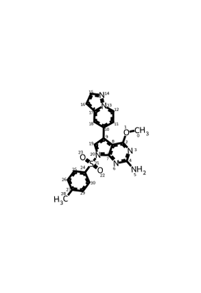 COc1nc(N)nc2c1c(-c1ccn3nccc3c1)cn2S(=O)(=O)c1ccc(C)cc1